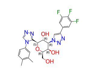 Cc1ccc(-n2cnnc2[C@@H]2O[C@H](CO)[C@H](O)[C@H](n3cc(-c4cc(F)c(F)c(F)c4)nn3)[C@H]2O)cc1C